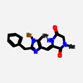 CC(=O)N1CC(=O)NC(=Cc2nc(Cc3ccccc3)n(Br)c2C(C)C)C1=O